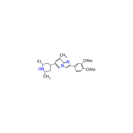 CCC1CC(c2cc(C)c3nc(-c4ccc(OC)c(OC)c4)cn3c2)CC(C)N1